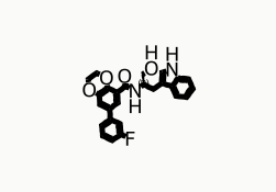 O=C(N[C@@H](CO)Cc1c[nH]c2ccccc12)c1cc(-c2cccc(F)c2)cc2c1OCCO2